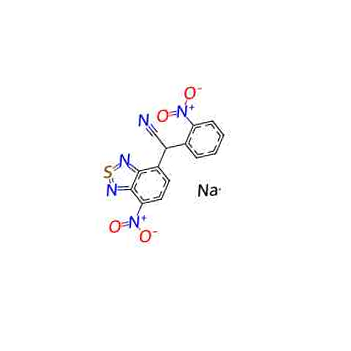 N#CC(c1ccccc1[N+](=O)[O-])c1ccc([N+](=O)[O-])c2nsnc12.[Na]